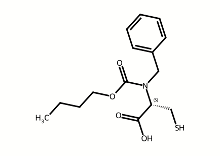 CCCCOC(=O)N(Cc1ccccc1)[C@H](CS)C(=O)O